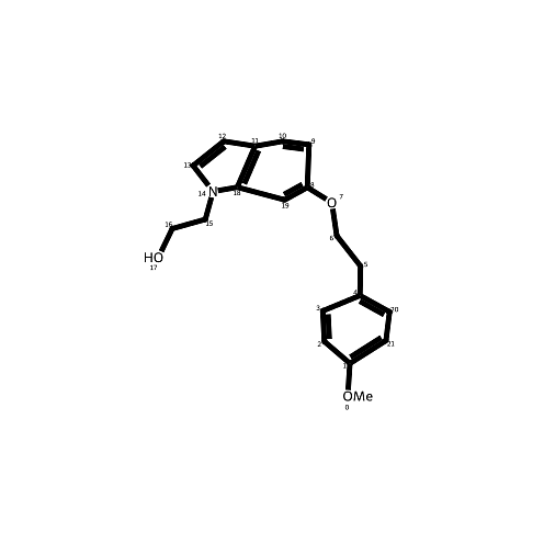 COc1ccc(CCOc2ccc3ccn(CCO)c3c2)cc1